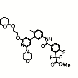 COC(=O)C(F)(F)c1cc(C(=O)Nc2ccc(C)c(-c3cc(OCCOC4CCCCO4)nc(N4CCOCC4)c3)c2)ccc1F